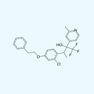 Cc1cc(C(O)(C(C)c2ccc(OCCc3ccccc3)cc2Cl)C(F)(F)F)ccn1